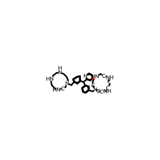 c1ccc(C(c2cccc(CN3CCCNCCNCCCNCC3)c2)c2cccc(CN3CCCNCCNCCCNCC3)c2)nc1